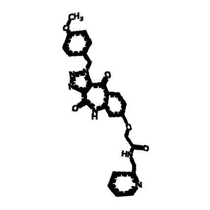 COc1ccc(Cn2nnc3c(=O)[nH]c4cc(OCC(=O)NCc5ccccn5)ccc4c(=O)c32)cc1